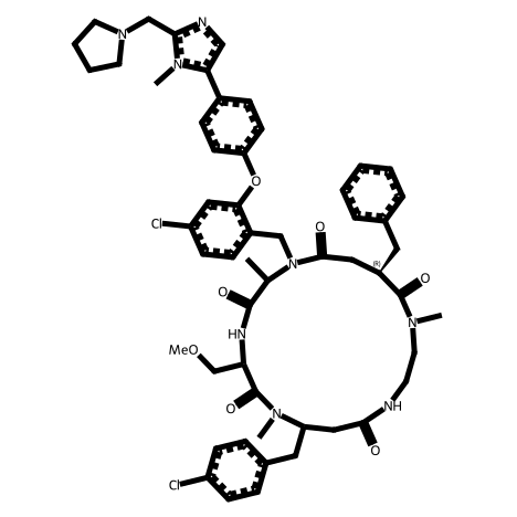 COCC1NC(=O)C(C)N(Cc2ccc(Cl)cc2Oc2ccc(-c3cnc(CN4CCCC4)n3C)cc2)C(=O)C[C@@H](Cc2ccccc2)C(=O)N(C)CCNC(=O)CC(Cc2ccc(Cl)cc2)N(C)C1=O